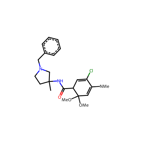 CNC1=CC(OC)(OC)C(C(=O)NC2(C)CCN(Cc3ccccc3)C2)C=C1Cl